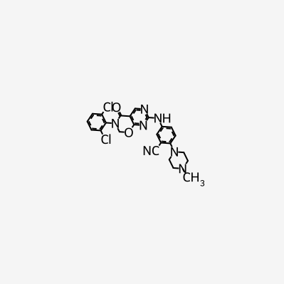 CN1CCN(c2ccc(Nc3ncc4c(n3)OCN(c3c(Cl)cccc3Cl)C4=O)cc2C#N)CC1